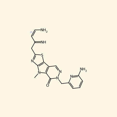 Cn1c2nc(CC(=N)/C=C\N)sc2c2cnn(Cc3cccc(N)n3)c(=O)c21